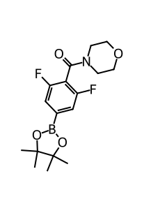 CC1(C)OB(c2cc(F)c(C(=O)N3CCOCC3)c(F)c2)OC1(C)C